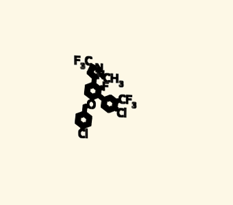 Cn1nc(C(F)(F)F)cc1-c1ccc(OCc2ccc(Cl)cc2)c(-c2ccc(Cl)c(C(F)(F)F)c2)c1F